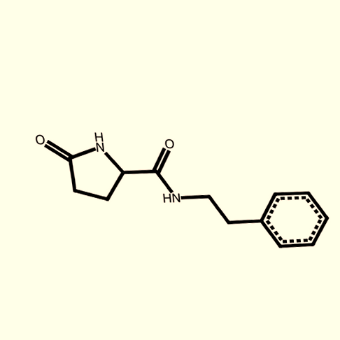 O=C1CCC(C(=O)NCCc2ccccc2)N1